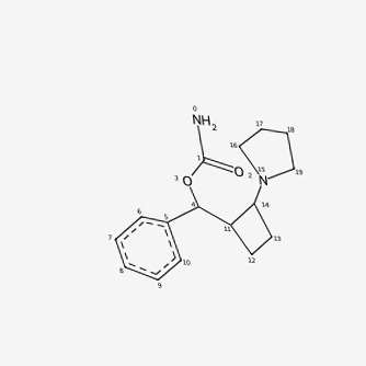 NC(=O)OC(c1ccccc1)C1CCC1N1CCCC1